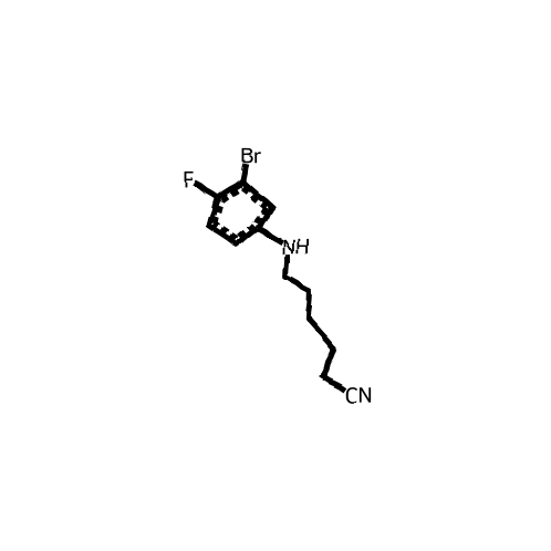 N#CCCCCCNc1ccc(F)c(Br)c1